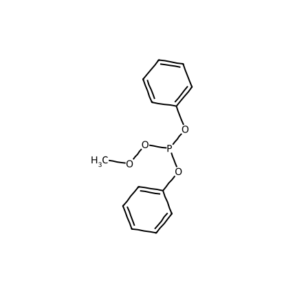 COOP(Oc1ccccc1)Oc1ccccc1